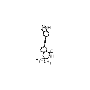 CC1(C)CNC(=O)c2cc(C#Cc3ccc4[nH]ncc4c3)cnc2C1